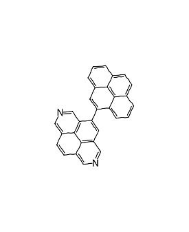 c1cc2ccc3cccc4c(-c5cc6cncc7ccc8cncc5c8c76)cc(c1)c2c34